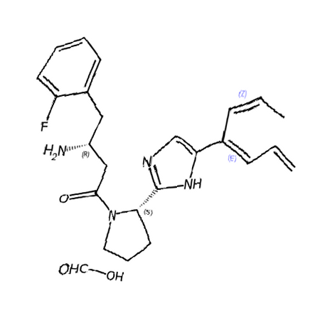 C=C/C=C(\C=C/C)c1cnc([C@@H]2CCCN2C(=O)C[C@H](N)Cc2ccccc2F)[nH]1.O=CO